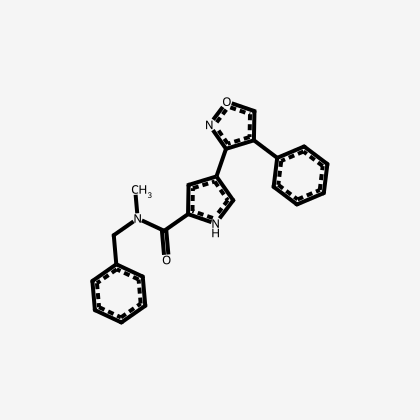 CN(Cc1ccccc1)C(=O)c1cc(-c2nocc2-c2ccccc2)c[nH]1